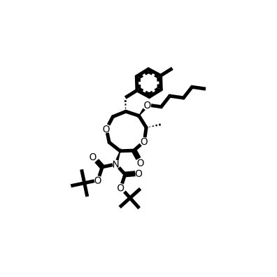 CCCCCO[C@@H]1[C@@H](Cc2ccc(C)cc2)COC[C@H](N(C(=O)OC(C)(C)C)C(=O)OC(C)(C)C)C(=O)O[C@H]1C